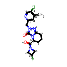 O=C([C@@H]1CCCc2nn(Cc3cc(C(F)(F)F)c(Cl)cn3)c(=O)n21)N1CC(F)C1